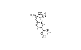 CCOC(OCC)c1ccc(C[C@@](N)(CC(C)C)C(=O)O)cc1